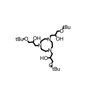 CC(C)(C)OCC(O)CN1CCN(CC(O)COC(C)(C)C)CCN(CC(O)COC(C)(C)C)CC1